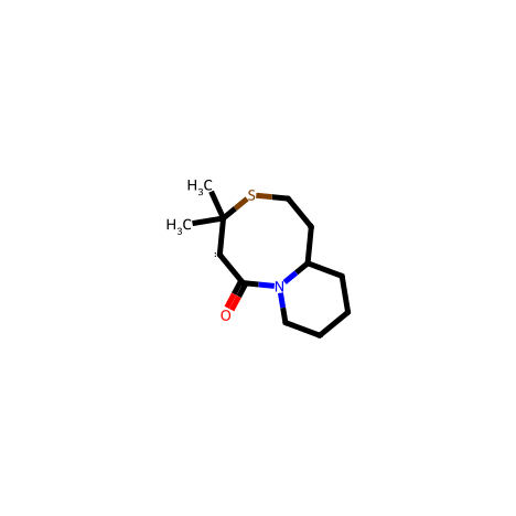 CC1(C)[C]C(=O)N2CCCCC2CCS1